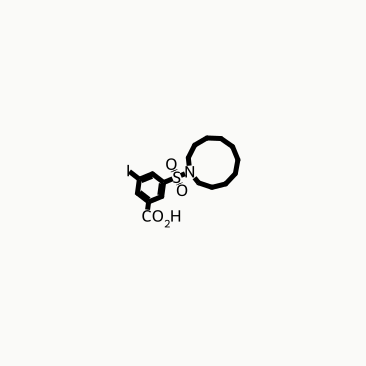 O=C(O)c1cc(I)cc(S(=O)(=O)N2CCCCCCCCCC2)c1